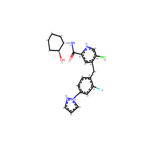 O=C(N[C@H]1CCCC[C@@H]1O)c1cc(Cc2ccc(-n3cccn3)cc2F)c(Cl)cn1